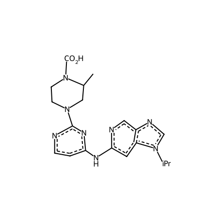 CC1CN(c2nccc(Nc3cc4c(cn3)ncn4C(C)C)n2)CCN1C(=O)O